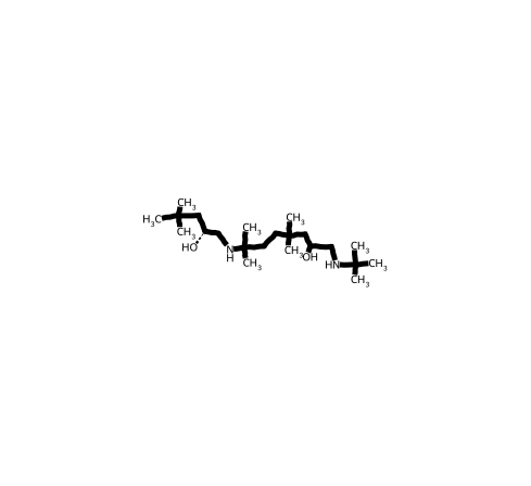 CC(C)(C)C[C@@H](O)CNC(C)(C)CCC(C)(C)CC(O)CNC(C)(C)C